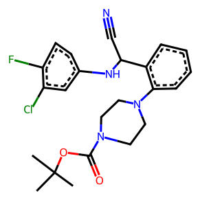 CC(C)(C)OC(=O)N1CCN(c2ccccc2C(C#N)Nc2ccc(F)c(Cl)c2)CC1